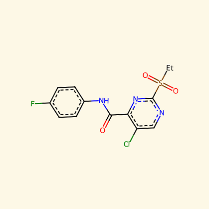 CCS(=O)(=O)c1ncc(Cl)c(C(=O)Nc2ccc(F)cc2)n1